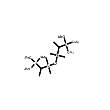 CO[Si](OC)(OC)C(C)[Si](C)(C)O[Si](C)(C)C(C)[Si](OC)(OC)OC